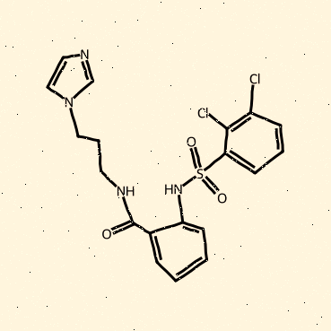 O=C(NCCCn1ccnc1)c1ccccc1NS(=O)(=O)c1cccc(Cl)c1Cl